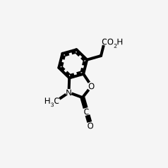 CN1C(=C=O)Oc2c(CC(=O)O)cccc21